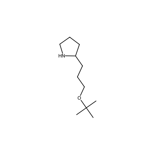 CC(C)(C)OCCCC1CCCN1